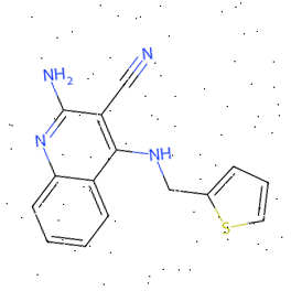 N#Cc1c(N)nc2ccccc2c1NCc1cccs1